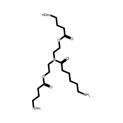 CCCCCCCCCCCCCC(=O)OCCN(CCOC(=O)CCCCCCCCCCCCC)C(=O)CCCCCN